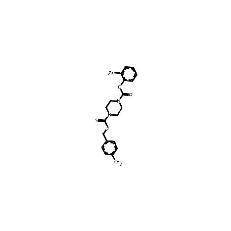 CC(=O)c1ccccc1OC(=O)N1CCN(C(=S)SCc2ccc(C(F)(F)F)cc2)CC1